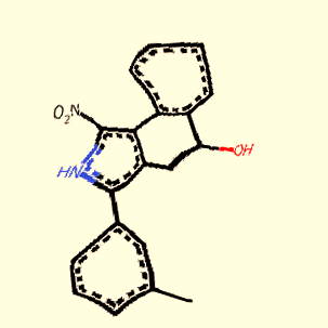 Cc1cccc(-c2[nH]c([N+](=O)[O-])c3c2CC(O)c2ccccc2-3)c1